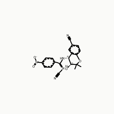 CC1(C)Oc2ccc(C#N)cc2[C@@H](NC(=NC#N)c2ccc([N+](=O)[O-])cc2)[C@@H]1O